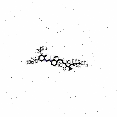 C=C1/C(=C\C=C2/CCC[C@]3(C)[C@@H]([C@H](C)C(O)CC(=O)C4(C(O)C(F)(F)C(F)(F)C(F)(F)C(F)(F)F)CC4)CC[C@@H]23)CC(O[Si](C)(C)C(C)(C)C)CC1O[Si](C)(C)C(C)(C)C